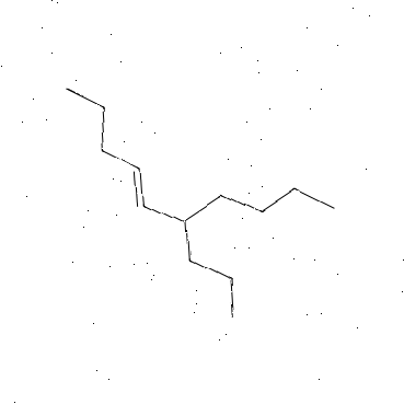 CCCC=CC(CCC)CCCC